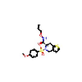 C=CCONC(=O)[C@H]1Cc2sccc2CN1S(=O)(=O)c1ccc(OC)cc1